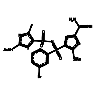 CSc1sc(C(=N)N)cc1S(=O)(=NS(=O)(=O)c1sc(NC(C)=O)nc1C)c1cccc(Br)c1